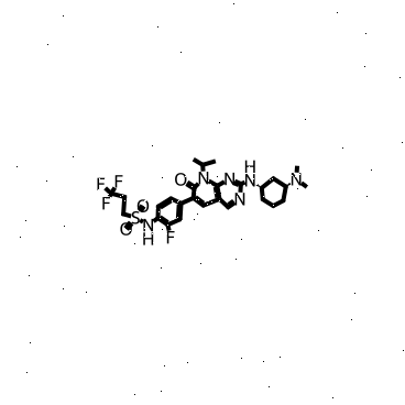 CC(C)n1c(=O)c(-c2ccc(NS(=O)(=O)CCC(F)(F)F)c(F)c2)cc2cnc(N[C@H]3CCC[C@@H](N(C)C)C3)nc21